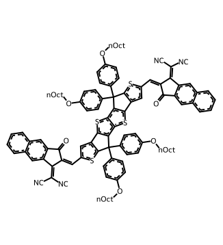 [C-]#[N+]/C(C#N)=C1\C(=C\c2cc3c(s2)C(c2ccc(OCCCCCCCC)cc2)(c2ccc(OCCCCCCCC)cc2)c2c-3sc3c4c(sc23)-c2cc(/C=C3\C(=O)c5cc6ccccc6cc5\C3=C(\C#N)[N+]#[C-])sc2C4(c2ccc(OCCCCCCCC)cc2)c2ccc(OCCCCCCCC)cc2)C(=O)c2cc3ccccc3cc21